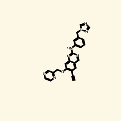 C#Cc1cc2cnc(Nc3cccc(Cn4cncn4)c3)nc2cc1OCc1cnccn1